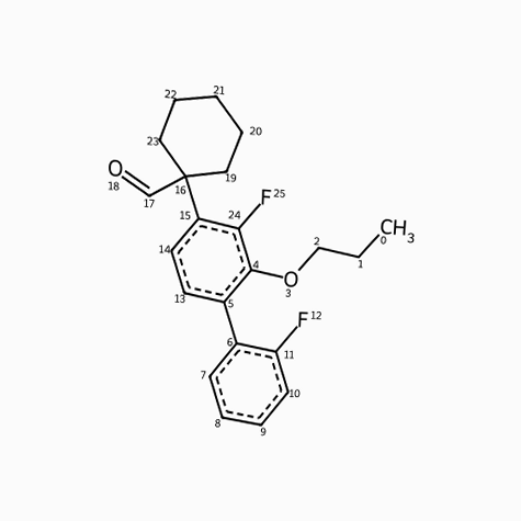 CCCOc1c(-c2ccccc2F)ccc(C2(C=O)CCCCC2)c1F